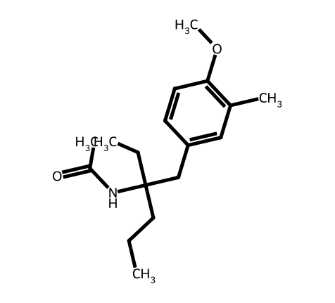 CCCC(CC)(Cc1ccc(OC)c(C)c1)NC(C)=O